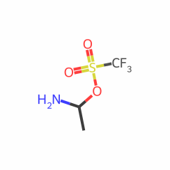 CC(N)OS(=O)(=O)C(F)(F)F